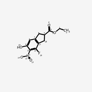 CCOC(=O)C1Cc2cc(O)c([N+](=O)[O-])c(F)c2C1